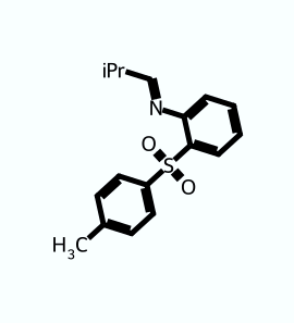 Cc1ccc(S(=O)(=O)c2ccccc2/N=C/C(C)C)cc1